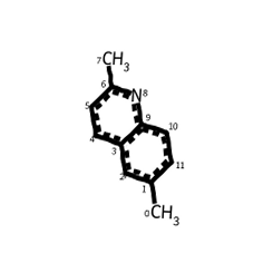 Cc1[c]c2ccc(C)nc2cc1